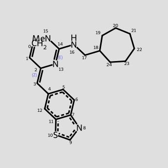 C=CC(=C/c1ccc2ncsc2c1)/N=C(\NC)NCC1CCCCCC1